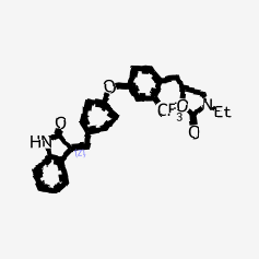 CCN1CC(Cc2ccc(Oc3ccc(/C=C4\C(=O)Nc5ccccc54)cc3)cc2C(F)(F)F)OC1=O